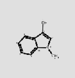 Cn1cc(O)c2ccccc21